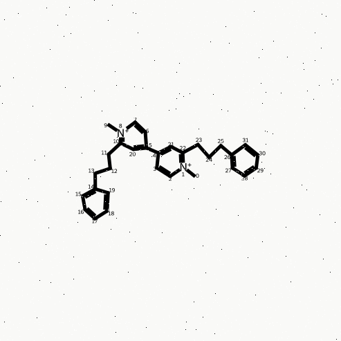 C[n+]1ccc(-c2cc[n+](C)c(CCCc3ccccc3)c2)cc1CCCc1ccccc1